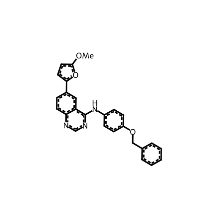 COc1ccc(-c2ccc3ncnc(Nc4ccc(OCc5ccccc5)cc4)c3c2)o1